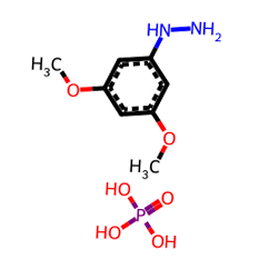 COc1cc(NN)cc(OC)c1.O=P(O)(O)O